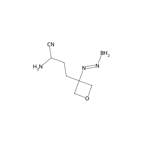 BN=NC1(CCC(N)C#N)COC1